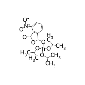 CC(C)[O][Ti]([O]C(C)C)([O]C(C)C)[O]C1OC(=O)c2c1cccc2[N+](=O)[O-]